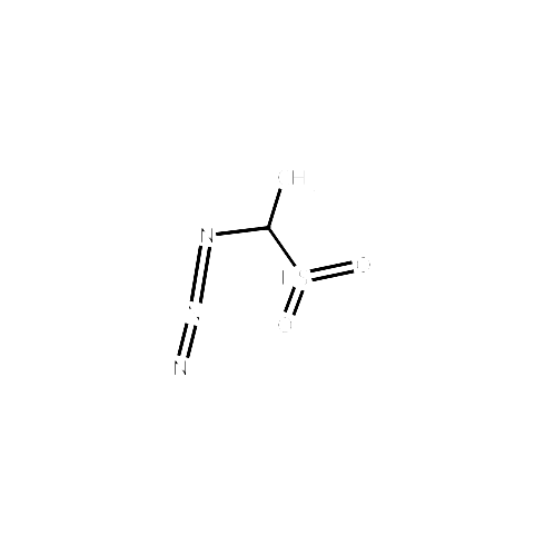 CC(N=[N+]=[N-])[SH](=O)=O